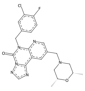 C[C@@H]1CN(Cc2cnc3c(c2)c2ncnn2c(=O)n3Cc2ccc(F)c(Cl)c2)C[C@H](C)O1